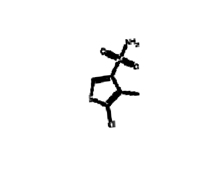 Cc1c(S(N)(=O)=O)csc1Cl